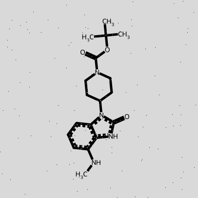 CNc1cccc2c1[nH]c(=O)n2C1CCN(C(=O)OC(C)(C)C)CC1